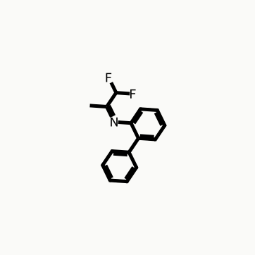 CC(=Nc1ccccc1-c1ccccc1)C(F)F